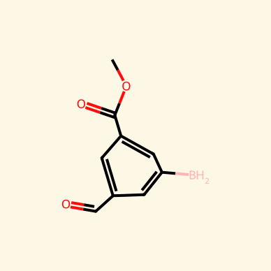 Bc1cc(C=O)cc(C(=O)OC)c1